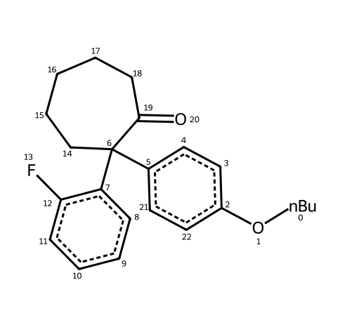 CCCCOc1ccc(C2(c3ccccc3F)CCCCCC2=O)cc1